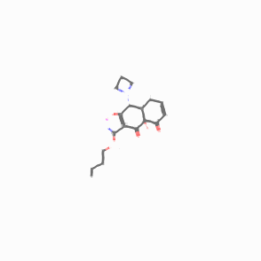 CCCCOC1NOC2=C1C(=O)[C@@]1(O)C(=O)C=CCC1[C@@H]2N1CCC1